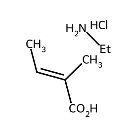 CC=C(C)C(=O)O.CCN.Cl